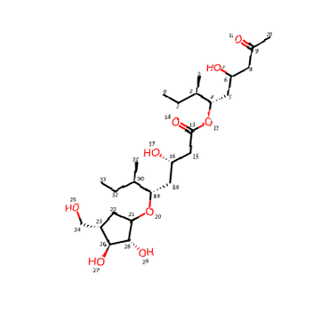 CC[C@@H](C)[C@H](CC(O)CC(C)=O)OC(=O)C[C@@H](O)C[C@H](OC1C[C@@H](CO)[C@H](O)[C@H]1O)[C@H](C)CC